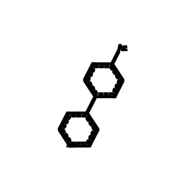 CC(=O)c1ccc(-c2cc[c]cc2)cc1